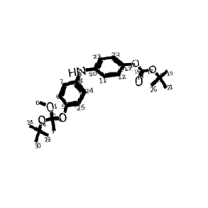 COC(C)(Oc1ccc(Nc2ccc(OC(=O)OC(C)(C)C)cc2)cc1)OC(C)(C)C